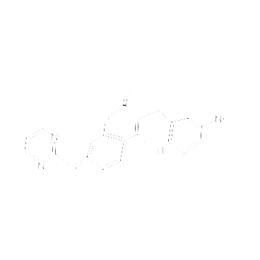 O=c1oc2cc(Oc3ncccn3)ccc2c(O)c1Cc1cccc([N+](=O)[O-])c1